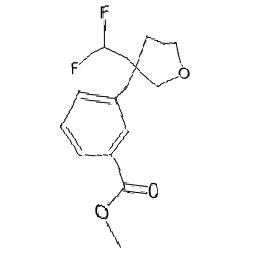 COC(=O)c1cccc(C2(C(F)F)CCOC2)c1